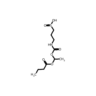 CCCC(=O)OC(C)OC(=O)NCCCS(=O)O